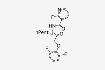 CCCCC[C@H](NC(=O)c1cccnc1F)C(=O)COc1c(F)cccc1F